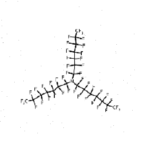 FC(F)(F)C(F)(F)C(F)(F)C(F)(F)C(F)(F)C(F)(F)C(F)(F)N(C(F)(F)C(F)(F)C(F)(F)C(F)(F)C(F)(F)C(F)(F)C(F)(F)F)C(F)(F)C(F)(F)C(F)(F)C(F)(F)C(F)(F)C(F)(F)C(F)(F)F